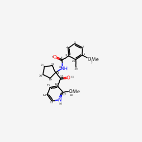 COc1cccc(C(=O)NC2(C(=O)c3cccnc3OC)CCCC2)c1C